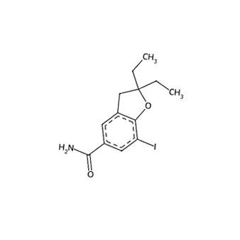 CCC1(CC)Cc2cc(C(N)=O)cc(I)c2O1